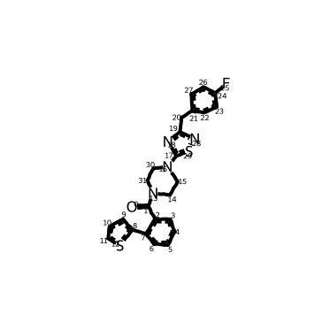 O=C(c1ccccc1-c1cccs1)N1CCN(c2nc(Cc3ccc(F)cc3)ns2)CC1